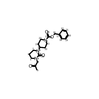 CC(=O)CN1CCCN(C2CCN(C(=O)OCc3ccccc3)CC2)C1=O